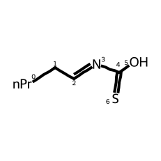 CCCCC=NC(O)=S